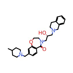 CC1CCN(Cc2ccc3c(c2)OCCN(C[C@H](O)CN2CCc4ccccc4C2)C3=O)CC1